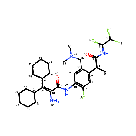 CC(C(=O)NC(F)C(F)F)c1cc(F)c(NC(=O)C(N)=C(C2CCCCC2)C2CCCCC2)cc1CN(C)C